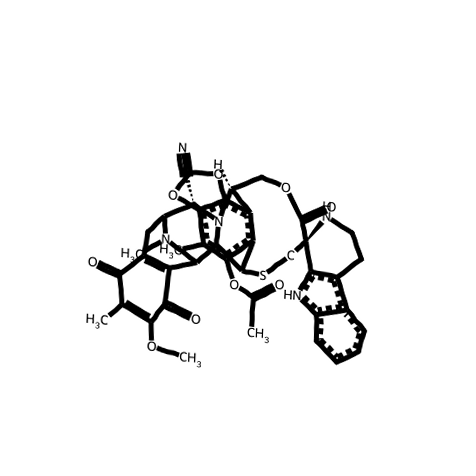 COC1=C(C)C(=O)C2=C(C1=O)C1C3C4SC[C@]5(NCCc6c5[nH]c5ccccc65)C(=O)OC[C@@H](c5c6c(c(C)c(OC(C)=O)c54)OCO6)N3[C@@H](C#N)C(C2)N1C